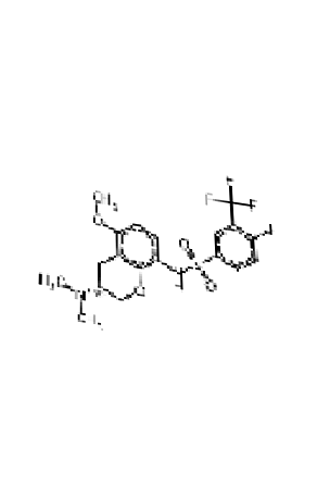 COc1ccc(NS(=O)(=O)c2ccc(F)c(C(F)(F)F)c2)c2c1C[C@@H](N(C)C)CO2